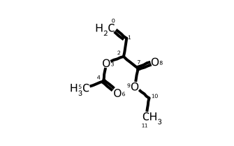 C=CC(OC(C)=O)C(=O)OCC